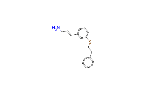 NCC=Cc1cccc(SCCc2ccccc2)c1